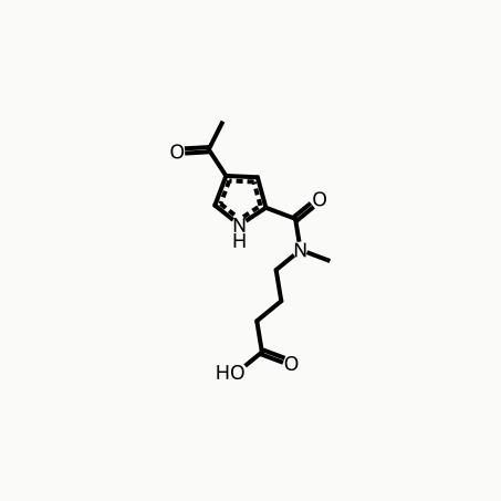 CC(=O)c1c[nH]c(C(=O)N(C)CCCC(=O)O)c1